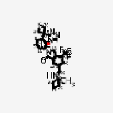 Cn1cnnc1C1(c2cccc(N3Cc4c(cc(CNC5(C)CCC5)cc4C(F)(F)F)C3=O)c2)CSC1